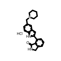 Cl.O=C1NCc2cccc(-c3cc4cc(CN5CCCCC5)ccc4[nH]3)c21